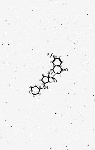 CC(C)[C@]1(C(=O)N2CC(=O)c3ccc(C(F)(F)F)cc3C2)CC[C@@H](NC2CCOCC2)C1